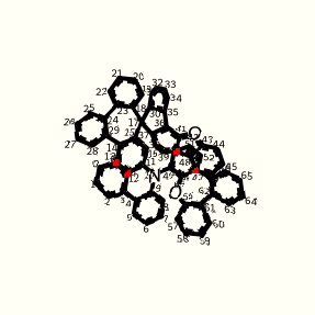 c1ccc(-c2ccccc2N(c2ccc3c(c2)C2(c4ccccc4-c4ccccc4-3)c3ccccc3-c3c2ccc2c3oc3ccccc32)c2cccc3c2Oc2ccccc2-c2ccccc2-3)cc1